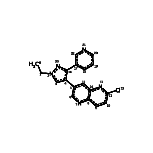 CCn1cc(-c2cnc3ccc(Cl)nc3c2)c(-c2cccnc2)n1